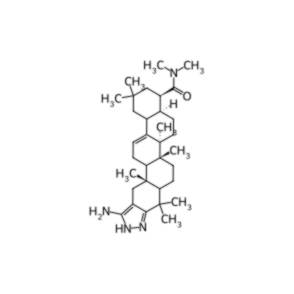 CN(C)C(=O)[C@@H]1CC(C)(C)CC2C3=CCC4[C@@]5(C)Cc6c(n[nH]c6N)C(C)(C)C5CC[C@@]4(C)[C@]3(C)CC[C@@H]21